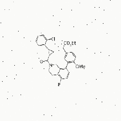 CCOC(=O)Cc1ccc(OC)c(-c2ccc(F)c3c2CN(C(=O)C2CC2c2ccccc2Cl)CC3)c1